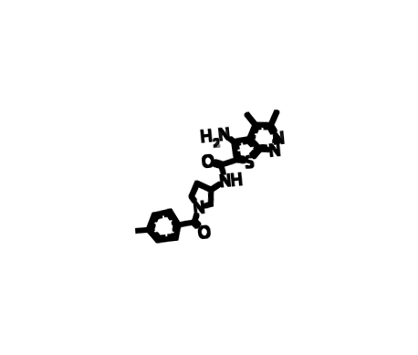 Cc1ccc(C(=O)N2CCC(NC(=O)c3sc4nnc(C)c(C)c4c3N)C2)cc1